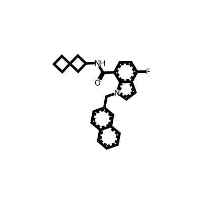 O=C(NC1CC2(CCC2)C1)c1ccc(F)c2ccn(Cc3ccc4ccccc4c3)c12